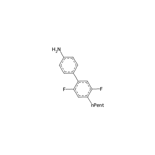 CCCCCc1cc(F)c(-c2ccc(N)cc2)cc1F